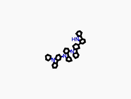 c1ccc(-n2c3ccccc3c3cc(-n4c5ccccc5c5c(-n6c7ccccc7c7cc(-c8cccc9c8[nH]c8ccccc89)ccc76)cccc54)ccc32)cc1